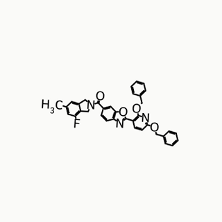 Cc1cc(F)c2c(c1)CN(C(=O)c1ccc3nc(-c4ccc(OCc5ccccc5)nc4OCc4ccccc4)oc3c1)C2